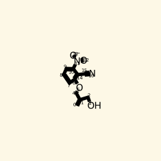 C=C(CO)COc1cccc([N+](=O)[O-])c1C#N